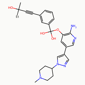 CCC(C)(O)C#Cc1cccc(C(O)(O)Oc2cc(-c3cnn(C4CCN(C)CC4)c3)cnc2N)c1